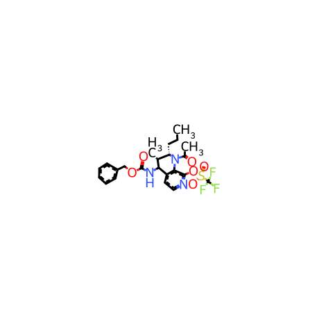 CCC[C@H]1[C@H](C)C(NC(=O)OCc2ccccc2)c2ccnc(OS(=O)(=O)C(F)(F)F)c2N1C(C)=O